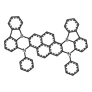 c1ccc(N2c3cccc4c3B(c3ccccc3-4)c3c2cc2ccc4c5c(cc6ccc3c2c64)B2c3ccccc3-c3cccc(c32)N5c2ccccc2)cc1